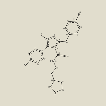 Cc1ccc(-c2c(C)cn(Cc3ccc(Br)cc3)c2C(=O)NCCN2CCCC2)cc1